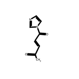 CC(=O)/C=C/C(=O)n1ccnc1